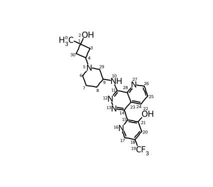 CC1(O)CC(N2CCCC(Nc3nnc(-c4ncc(C(F)(F)F)cc4O)c4cccnc34)C2)C1